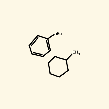 CC1CCCCC1.CCCCc1ccccc1